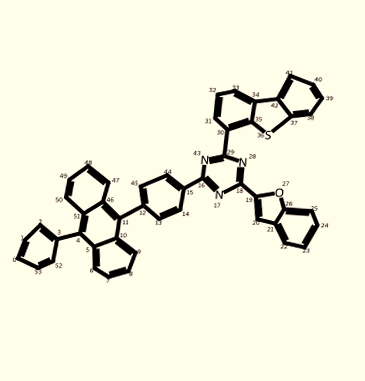 c1ccc(-c2c3ccccc3c(-c3ccc(-c4nc(-c5cc6ccccc6o5)nc(-c5cccc6c5sc5ccccc56)n4)cc3)c3ccccc23)cc1